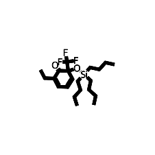 CCCC[Si](CCCC)(CCCC)OC1(C(F)(F)F)C=CC=C(CC)C1=O